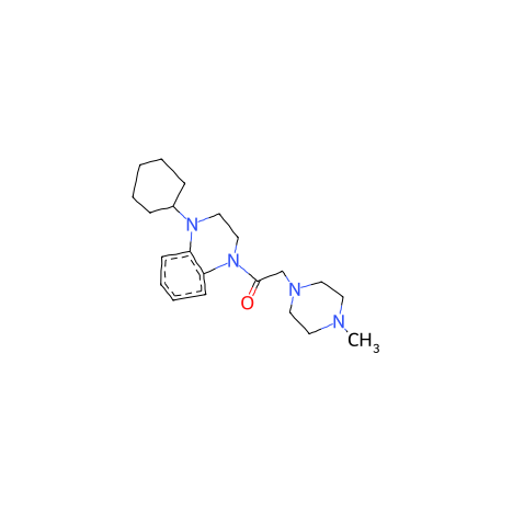 CN1CCN(CC(=O)N2CCN(C3CCCCC3)c3ccccc32)CC1